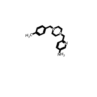 Cc1ccc(CN2CCN(Cc3ccc(N)cn3)CC2)cc1